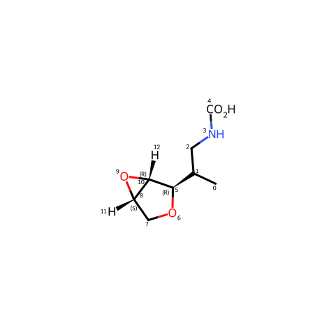 CC(CNC(=O)O)[C@H]1OC[C@@H]2O[C@@H]21